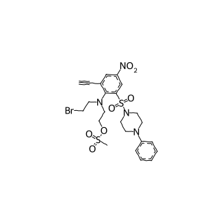 C#Cc1cc([N+](=O)[O-])cc(S(=O)(=O)N2CCN(c3ccccc3)CC2)c1N(CCBr)CCOS(C)(=O)=O